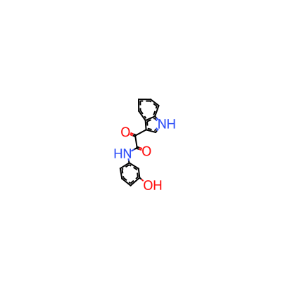 O=C(Nc1cccc(O)c1)C(=O)c1c[nH]c2ccccc12